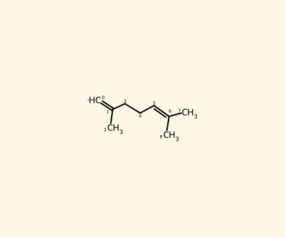 [CH]=C(C)CCC=C(C)C